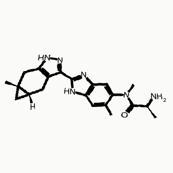 Cc1cc2[nH]c(-c3n[nH]c4c3C[C@@H]3C[C@]3(C)C4)nc2cc1N(C)C(=O)[C@H](C)N